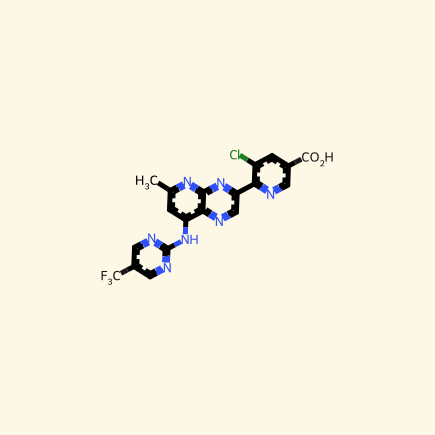 Cc1cc(Nc2ncc(C(F)(F)F)cn2)c2ncc(-c3ncc(C(=O)O)cc3Cl)nc2n1